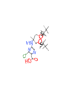 CC(CO[Si](C)(C)C(C)(C)C)(CO[Si](C)(C)C(C)(C)C)Nc1cnc(C(=O)O)c(Cl)n1